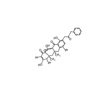 CC(=O)C1=C(O)C(C(C)C)[C@@]2(C)C[C@@]3(C)Cc4c(C(C)C)cc(CC(=O)Cc5ccccc5)c(O)c4C(=O)C3=C(O)[C@@]2(O)C1=O